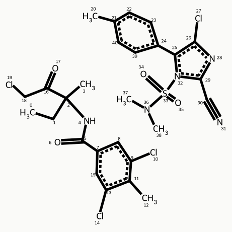 CCC(C)(NC(=O)c1cc(Cl)c(C)c(Cl)c1)C(=O)CCl.Cc1ccc(-c2c(Cl)nc(C#N)n2S(=O)(=O)N(C)C)cc1